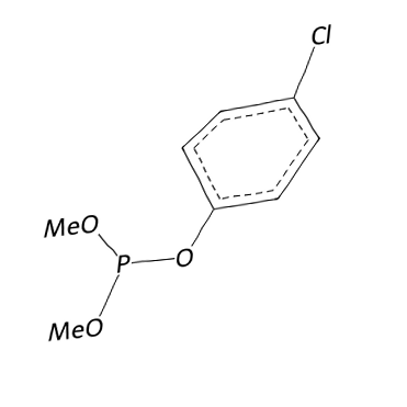 COP(OC)Oc1ccc(Cl)cc1